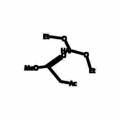 CC[O][AlH][O]CC.COC(=O)CC(C)=O